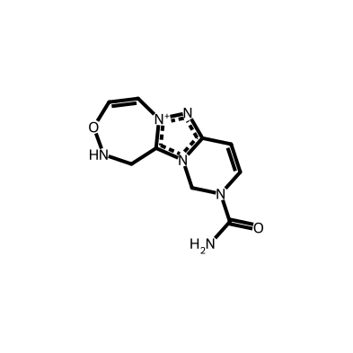 NC(=O)N1C=Cc2n[n+]3c(n2C1)CNOC=C3